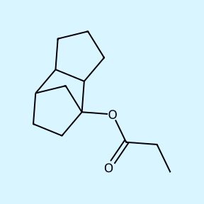 CCC(=O)OC12CCC(C1)C1CCCC12